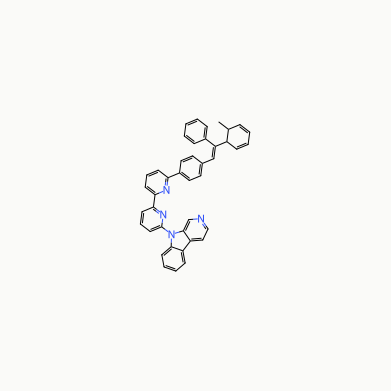 CC1C=CC=CC1/C(=C/c1ccc(-c2cccc(-c3cccc(-n4c5ccccc5c5ccncc54)n3)n2)cc1)c1ccccc1